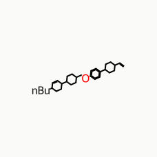 C=CC1CCC(c2ccc(OCC3CCC(C4C=CC(CCCC)CC4)CC3)cc2)CC1